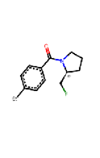 CCc1ccc(C(=O)N2CCC[C@H]2CF)cc1